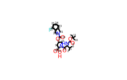 CC(C)[C@H](NC(=O)OC(C)(C)C)C(=O)N1C[C@H](OC(=O)N2Cc3cccc(F)c3C2)C[C@H]1C(=O)O